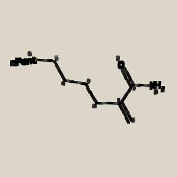 C=C(CCCCCCCCC)C(N)=O